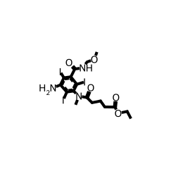 CCOC(=O)CCCC(=O)N(C)c1c(I)c(N)c(I)c(C(=O)NCOC)c1I